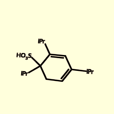 CC(C)C1=CCC(C(C)C)(S(=O)(=O)O)C(C(C)C)=C1